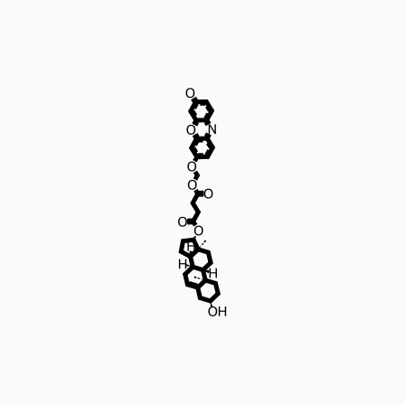 C[C@]12CC[C@H]3[C@@H](CC=C4C[C@@H](O)CC[C@@]43C)[C@@H]1CC[C@@H]2OC(=O)CCC(=O)OCOc1ccc2nc3ccc(=O)cc-3oc2c1